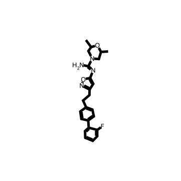 CC1CN(C(N)=Nc2cc(CCc3ccc(-c4ccccc4F)cc3)no2)CC(C)O1